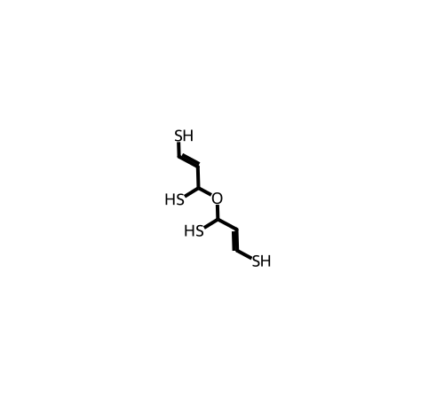 SC=CC(S)OC(S)C=CS